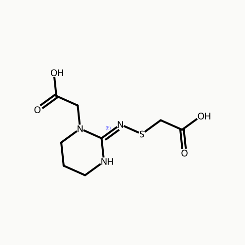 O=C(O)CS/N=C1\NCCCN1CC(=O)O